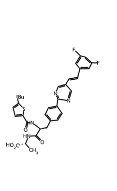 C[C@@H](NC(=O)[C@H](Cc1ccc(-c2ncc(/C=C/c3cc(F)cc(F)c3)cn2)cc1)NC(=O)c1ccc(C(C)(C)C)s1)C(=O)O